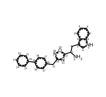 NC(Cc1c[nH]c2ccccc12)c1nc(Cc2ccc(-c3ccccc3)cc2)no1